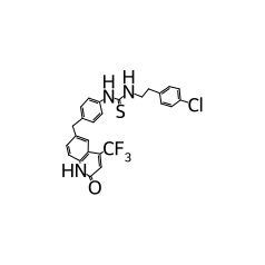 O=c1cc(C(F)(F)F)c2cc(Cc3ccc(NC(=S)NCCc4ccc(Cl)cc4)cc3)ccc2[nH]1